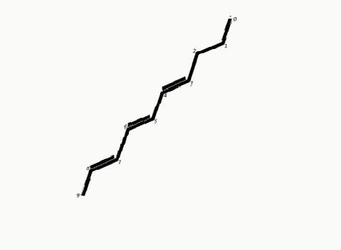 [CH2]CCC=CC=CC=CC